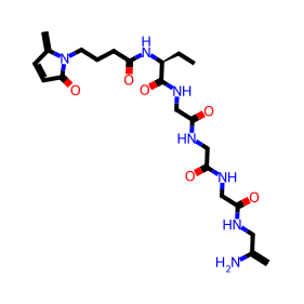 C=C(N)CNC(=O)CNC(=O)CNC(=O)CNC(=O)[C@H](CC)NC(=O)CCCN1C(=C)C=CC1=O